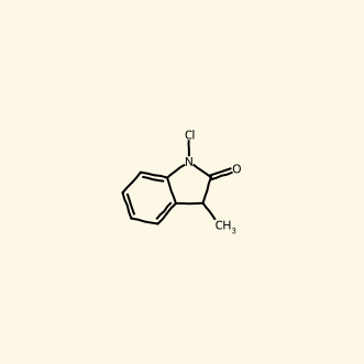 CC1C(=O)N(Cl)c2ccccc21